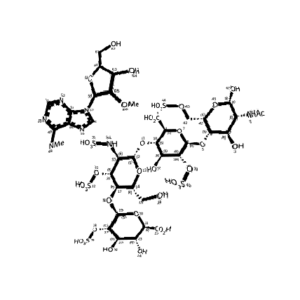 CC(=O)N[C@@H]1[C@@H](O)[C@H](O[C@@H]2O[C@H](C(=O)O)[C@@H](O[C@@H]3O[C@H](CO)[C@@H](O[C@H]4O[C@@H](C(=O)O)[C@H](O)[C@@H](O)[C@@H]4OS(=O)(=O)O)[C@H](OS(=O)(=O)O)[C@H]3NS(=O)(=O)O)[C@H](O)[C@H]2OS(=O)(=O)O)[C@H](COS(=O)(=O)O)O[C@H]1O.CNc1ncnc2c1ncn2C1OC(CO)C(O)C1OC